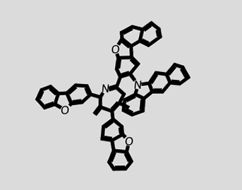 C=C1C(c2ccc3c(c2)oc2ccccc23)=C(C)CC(c2cc3oc4ccc5ccccc5c4c3cc2-n2c3ccccc3c3cc4ccccc4cc32)=NC1c1ccc2c(c1)oc1ccccc12